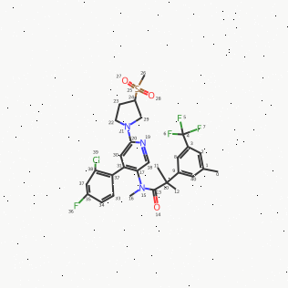 Cc1cc(C(F)(F)F)cc(C(C)(C)C(=O)N(C)c2cnc(N3CCC(S(C)(=O)=O)C3)cc2-c2ccc(F)cc2Cl)c1